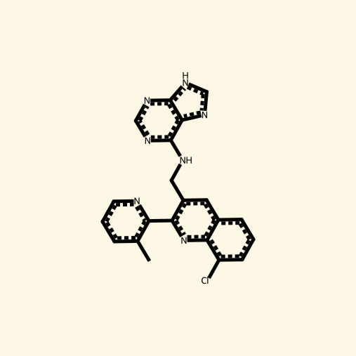 Cc1cccnc1-c1nc2c(Cl)cccc2cc1CNc1ncnc2[nH]cnc12